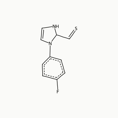 Fc1ccc(N2C=CNC2C=S)cc1